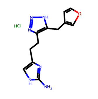 Cl.Nc1nc(CCc2nn[nH]c2Cc2ccoc2)c[nH]1